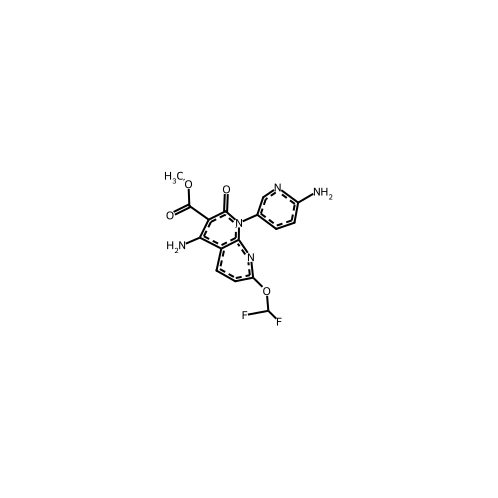 COC(=O)c1c(N)c2ccc(OC(F)F)nc2n(-c2ccc(N)nc2)c1=O